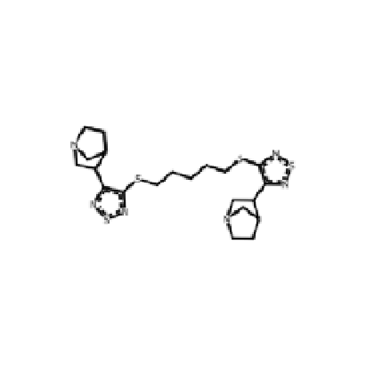 C(CCSc1nsnc1C1CN2CCC1C2)CCSc1nsnc1C1CN2CCC1C2